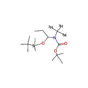 [2H]C([2H])([2H])N(C(=O)OC(C)(C)C)C(CC)O[Si](C)(C)C(C)(C)C